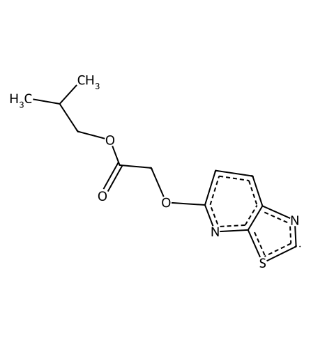 CC(C)COC(=O)COc1ccc2n[c]sc2n1